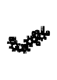 O=C1CCC(N2C(=O)c3ccc(N4CCC(CN5CCC(CO)CC5)C4)cc3C2=O)C(=O)N1